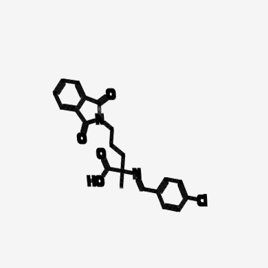 CC(CCCN1C(=O)c2ccccc2C1=O)(N=Cc1ccc(Cl)cc1)C(=O)O